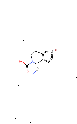 NC[C@H]1c2ccc(Br)cc2CCN1C(=O)O